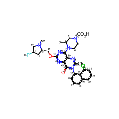 C[C@H]1CN(C(=O)O)CCN1c1nc(OC[C@@H]2C[C@@H](F)CN2C)nc2c(=O)n(-c3cccc4cccc(Cl)c34)c(C(F)(F)F)nc12